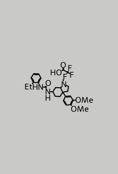 CCc1ccccc1NC(=O)NC1CCC2(c3ccc(OC)c(OC)c3)CCN(C)C2C1.O=C(O)C(F)(F)F